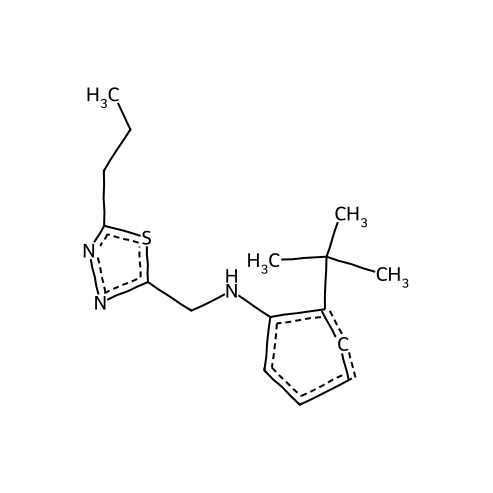 CCCc1nnc(CNc2ccccc2C(C)(C)C)s1